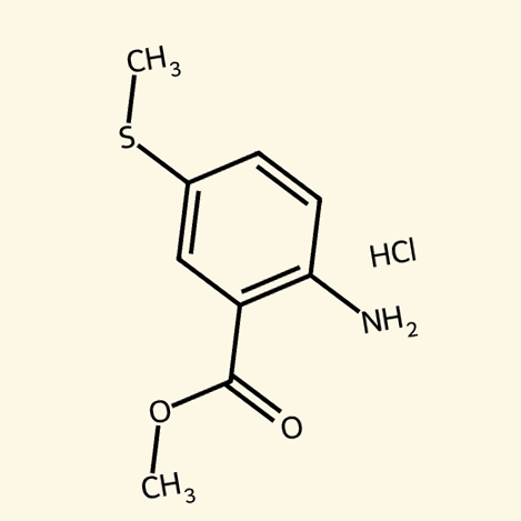 COC(=O)c1cc(SC)ccc1N.Cl